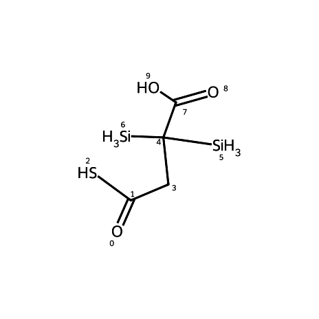 O=C(S)CC([SiH3])([SiH3])C(=O)O